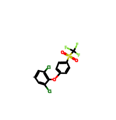 O=S(=O)(c1ccc(Oc2c(Cl)c[c]cc2Cl)cc1)C(F)(F)F